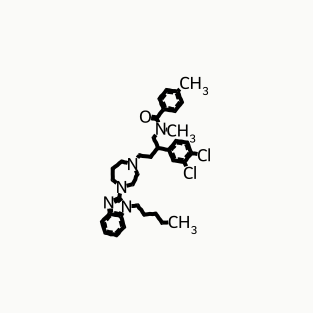 CCCCCn1c(N2CCCN(CCC(CN(C)C(=O)c3ccc(C)cc3)c3ccc(Cl)c(Cl)c3)CC2)nc2ccccc21